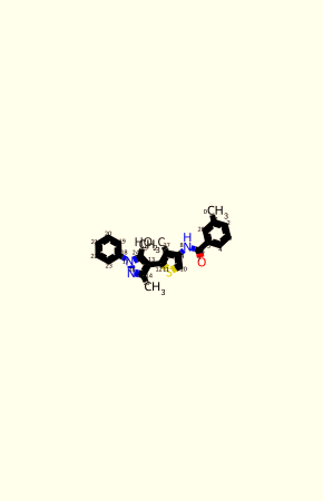 Cc1cccc(C(=O)Nc2csc(-c3c(C)nn(-c4ccccc4)c3C)c2C(=O)O)c1